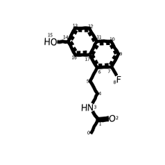 CC(=O)NCCc1c(F)ccc2ccc(O)cc12